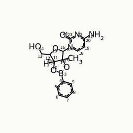 C[C@@]12OB(c3ccccc3)O[C@@H]1C(CO)OC2n1ccc(N)nc1=O